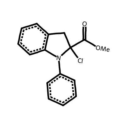 COC(=O)C1(Cl)Cc2ccccc2N1c1ccccc1